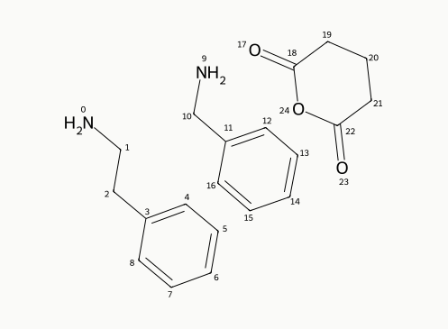 NCCc1ccccc1.NCc1ccccc1.O=C1CCCC(=O)O1